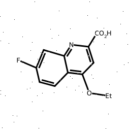 CCOc1cc(C(=O)O)nc2cc(F)ccc12